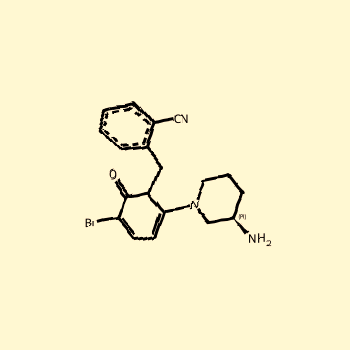 N#Cc1ccccc1CC1C(=O)C(Br)=CC=C1N1CCC[C@@H](N)C1